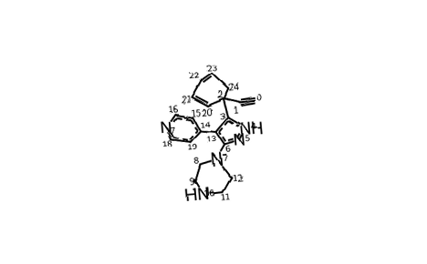 C#CC1(c2[nH]nc(N3CCNCC3)c2-c2ccncc2)C=CC=CC1